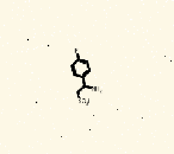 NC(CS(=O)(=O)O)c1ccc(F)cc1